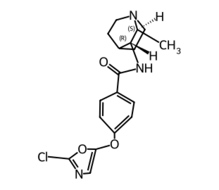 C[C@H]1[C@H](NC(=O)c2ccc(Oc3cnc(Cl)o3)cc2)C2CCN1CC2